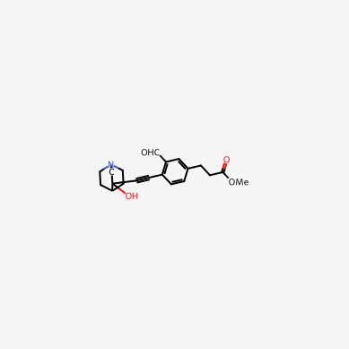 COC(=O)CCc1ccc(C#CC2(O)CN3CCC2CC3)c(C=O)c1